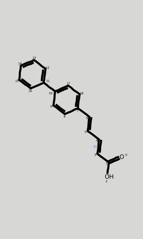 O=C(O)/C=C/C=Cc1ccc(-c2ccccc2)cc1